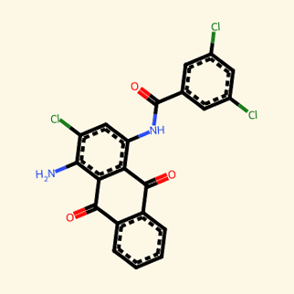 Nc1c(Cl)cc(NC(=O)c2cc(Cl)cc(Cl)c2)c2c1C(=O)c1ccccc1C2=O